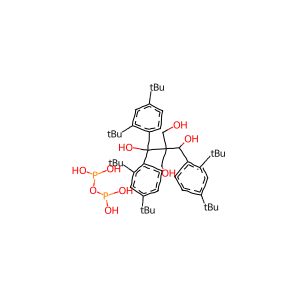 CC(C)(C)c1ccc(C(O)C(CO)(CO)C(O)(c2ccc(C(C)(C)C)cc2C(C)(C)C)c2ccc(C(C)(C)C)cc2C(C)(C)C)c(C(C)(C)C)c1.OP(O)OP(O)O